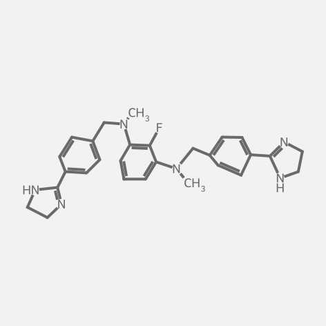 CN(Cc1ccc(C2=NCCN2)cc1)c1cccc(N(C)Cc2ccc(C3=NCCN3)cc2)c1F